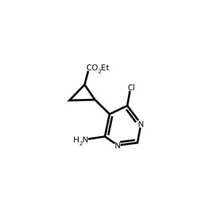 CCOC(=O)C1CC1c1c(N)ncnc1Cl